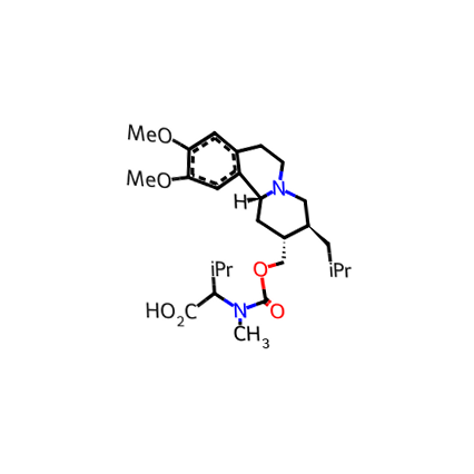 COc1cc2c(cc1OC)[C@H]1C[C@@H](COC(=O)N(C)C(C(=O)O)C(C)C)[C@H](CC(C)C)CN1CC2